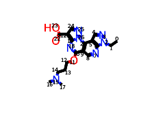 CCn1ncc2c1ncc1c(OCCCN(C)C)nc3c(C(=O)O)cnn3c12